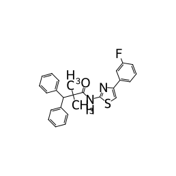 CC(C)(C(=O)Nc1nc(-c2cccc(F)c2)cs1)C(c1ccccc1)c1ccccc1